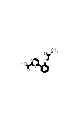 COC(=O)COc1ccccc1-c1ccnc(C(=O)O)n1